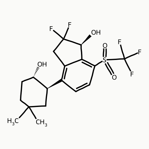 CC1(C)CC[C@H](O)[C@@H](c2ccc(S(=O)(=O)C(F)(F)F)c3c2CC(F)(F)[C@H]3O)C1